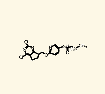 CNCC(=O)Nc1ccc(OCC2CCc3c(Cl)nc(Cl)nc32)nc1